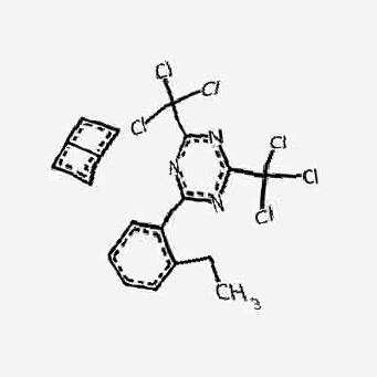 CCc1ccccc1-c1nc(C(Cl)(Cl)Cl)nc(C(Cl)(Cl)Cl)n1.c1cc2ccc1-2